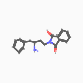 NC(CCN1C(=O)c2ccccc2C1=O)Cc1ccccc1